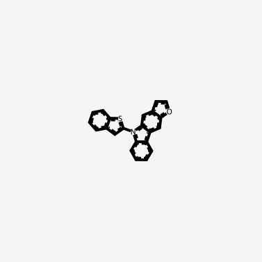 c1ccc2sc(-n3c4ccccc4c4cc5occc5cc43)cc2c1